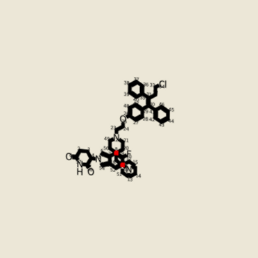 O=C1CCC(n2cc3cc(F)c(N4C5CC4CN(CC4CCN(CCOc6ccc(C(=C(CCCl)c7ccccc7)c7ccccc7)cc6)CC4)C5)cc3c2)C(=O)N1